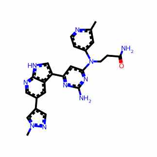 Cc1cc(N(CCC(N)=O)c2cc(-c3c[nH]c4ncc(-c5cnn(C)c5)cc34)nc(N)n2)ccn1